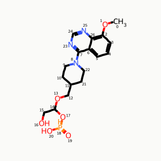 COc1cccc2c(N3CCC(COC(CO)O[PH](=O)O)CC3)ncnc12